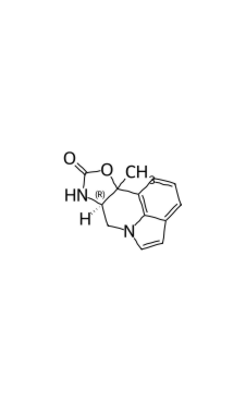 CC12OC(=O)N[C@@H]1Cn1ccc3cccc2c31